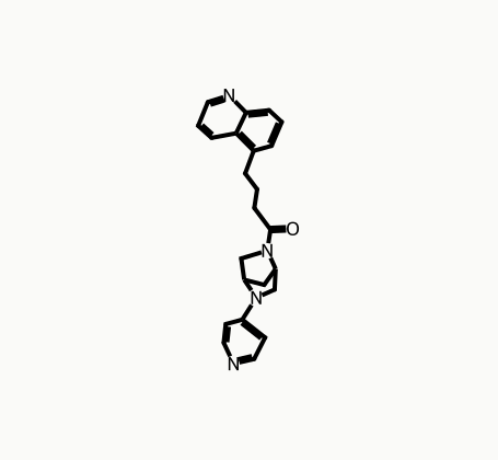 O=C(CCCc1cccc2ncccc12)N1CC2CC1CN2c1ccncc1